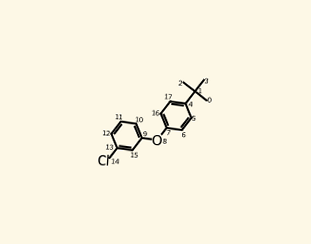 CC(C)(C)c1ccc(Oc2cccc(Cl)c2)cc1